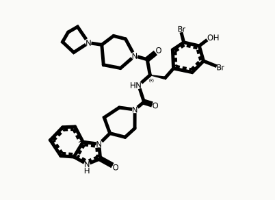 O=C(N[C@H](Cc1cc(Br)c(O)c(Br)c1)C(=O)N1CCC(N2CCCC2)CC1)N1CCC(n2c(=O)[nH]c3ccccc32)CC1